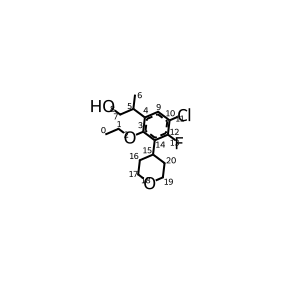 CCOc1c(C(C)CO)cc(Cl)c(F)c1C1CCOCC1